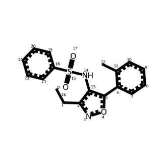 CCc1noc(-c2ccccc2C)c1NS(=O)(=O)c1ccccc1